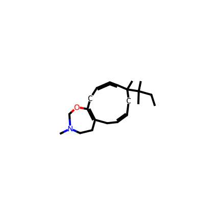 CCC(C)(C)C1(C)C=C=CCC2=C(C/C=C\C1)CCN(C)CO2